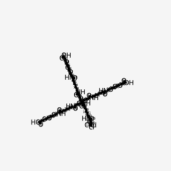 O=C(O)CCOCCOCCOCCNC(=O)CCCCCCCNC(=O)CCOCC(COCCC(=O)NCCCCCCCC(=O)NCCOCCOCCOCCC(=O)O)(COCCC(=O)NCCCCCCCC(=O)NCCOCCOCCOCCC(=O)O)NC(=O)CCCCCCCNC(=O)OCC(Cl)(Cl)Cl